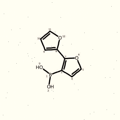 OB(O)c1ccoc1-c1ccco1